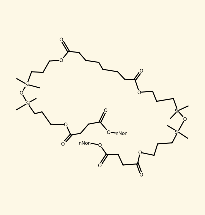 CCCCCCCCCOC(=O)CCC(=O)OCCC[Si](C)(C)O[Si](C)(C)CCCOC(=O)CCCCCCC(=O)OCCC[Si](C)(C)O[Si](C)(C)CCCOC(=O)CCC(=O)OCCCCCCCCC